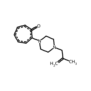 C=C(C)CN1CCN(c2cccccc2=O)CC1